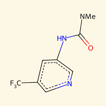 CNC(=O)Nc1cncc(C(F)(F)F)c1